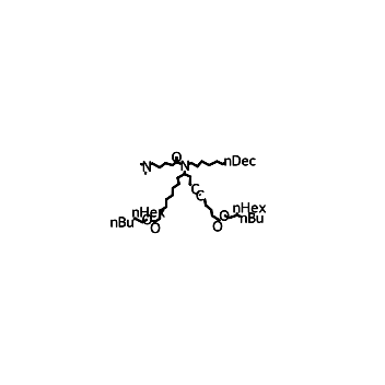 CCCCCCCCCCCCCCCCN(C(=O)CCCCN(C)C)C(CCCCCCCCC(=O)OCC(CCCC)CCCCCC)CCCCCCCCC(=O)OCC(CCCC)CCCCCC